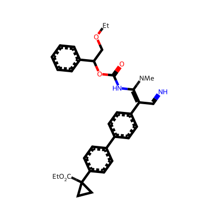 CCOCC(OC(=O)N/C(NC)=C(/C=N)c1ccc(-c2ccc(C3(C(=O)OCC)CC3)cc2)cc1)c1ccccc1